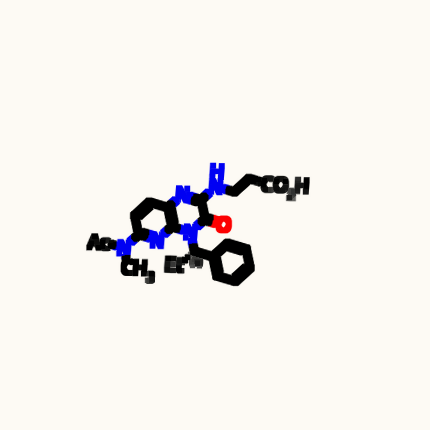 CC[C@@H](c1ccccc1)n1c(=O)c(NCCC(=O)O)nc2ccc(N(C)C(C)=O)nc21